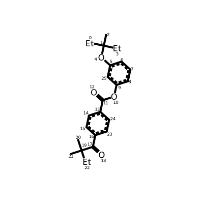 CCC(C)(CC)Oc1cccc(OC(=O)c2ccc(C(=O)C(C)(C)CC)cc2)c1